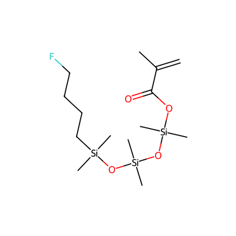 C=C(C)C(=O)O[Si](C)(C)O[Si](C)(C)O[Si](C)(C)CCCCF